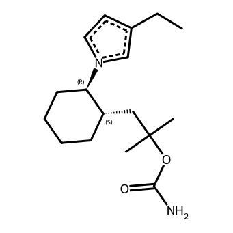 CCc1ccn([C@@H]2CCCC[C@H]2CC(C)(C)OC(N)=O)c1